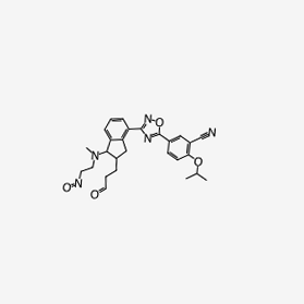 CC(C)Oc1ccc(-c2nc(-c3cccc4c3CC(CCC=O)C4N(C)CCN=O)no2)cc1C#N